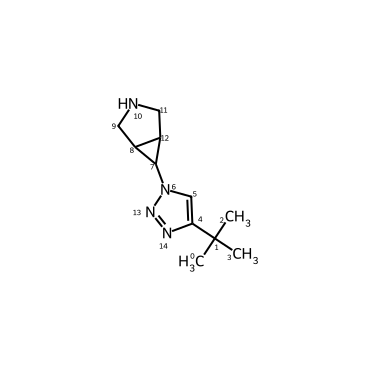 CC(C)(C)c1cn(C2C3CNCC32)nn1